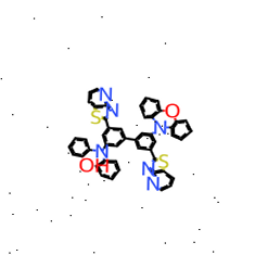 Oc1ccccc1N(c1ccccc1)c1cc(-c2cc(-c3nc4ncccc4s3)cc(N3c4ccccc4Oc4ccccc43)c2)cc(-c2nc3ncccc3s2)c1